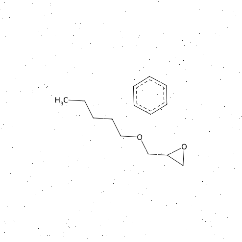 CCCCCOCC1CO1.c1ccccc1